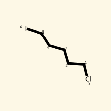 ClCCCC[CH]I